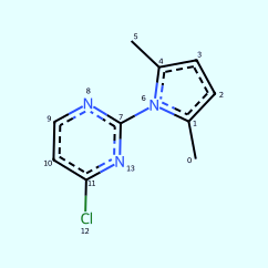 Cc1ccc(C)n1-c1nccc(Cl)n1